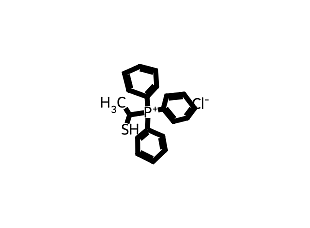 CC(S)[P+](c1ccccc1)(c1ccccc1)c1ccccc1.[Cl-]